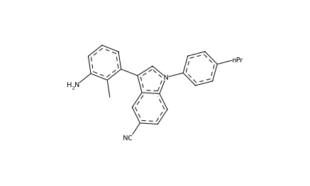 CCCc1ccc(-n2cc(-c3cccc(N)c3C)c3cc(C#N)ccc32)cc1